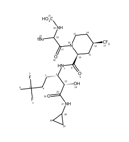 CC(F)(F)CC[C@H](NC(=O)[C@@H]1C[C@H](C(F)(F)F)CCN1C(=O)C(NC(=O)O)C(C)(C)C)[C@H](O)C(=O)NC1CC1